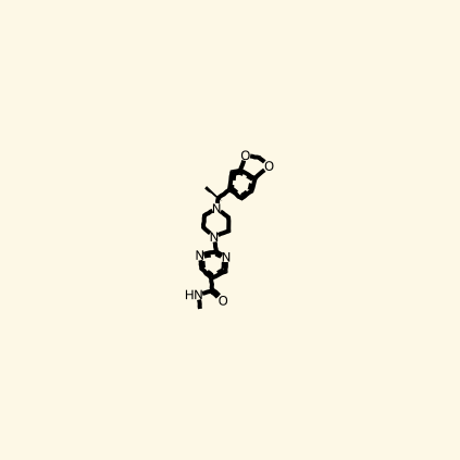 CNC(=O)c1cnc(N2CCN([C@@H](C)c3ccc4c(c3)OCO4)CC2)nc1